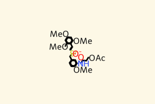 COc1cc(OC)c(C=C[S+]([O-])Cc2ccc(OC)c(NC(=O)CCOC(C)=O)c2)c(OC)c1